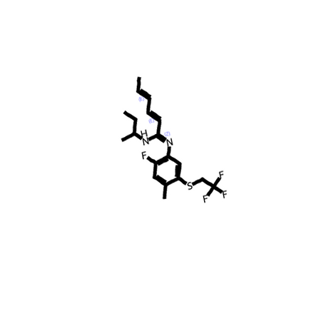 C/C=C/C=C/C(=N/c1cc(SCC(F)(F)F)c(C)cc1F)NC(C)CC